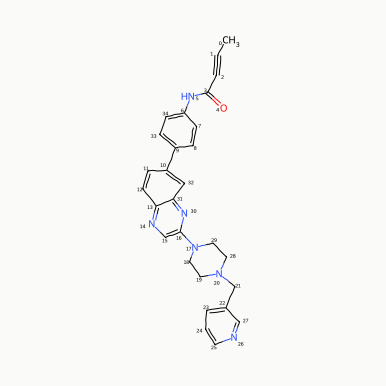 CC#CC(=O)Nc1ccc(-c2ccc3ncc(N4CCN(Cc5cccnc5)CC4)nc3c2)cc1